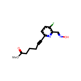 COC(=O)CCCC#Cc1ccc(F)c(C=NO)n1